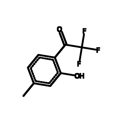 Cc1ccc(C(=O)C(F)(F)F)c(O)c1